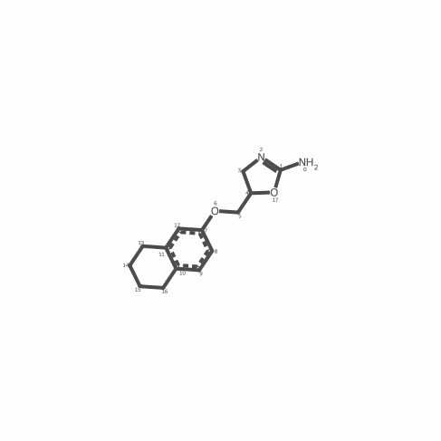 NC1=NCC(COc2ccc3c(c2)CCCC3)O1